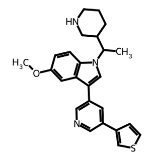 COc1ccc2c(c1)c(-c1cncc(-c3ccsc3)c1)cn2C(C)C1CCCNC1